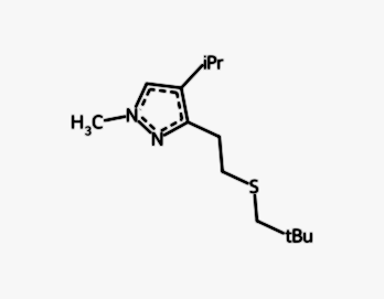 CC(C)c1cn(C)nc1CCSCC(C)(C)C